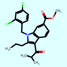 CCCc1c(C(=O)C(C)C)c2ccc(C(=O)OC)cc2n1Cc1ccc(Cl)cc1Cl